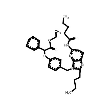 CCCCC(=O)Nc1ccc2nc(CCCC)n(Cc3ccc(OC(C(=O)OCC)c4ccccc4)cc3)c2n1